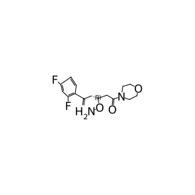 C=C(C[C@H](CC(=O)N1CCOCC1)ON)c1ccc(F)cc1F